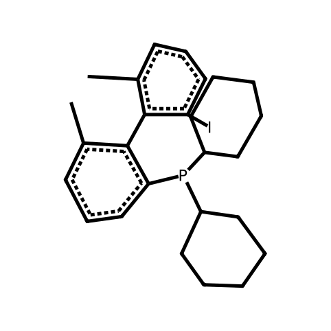 Cc1cccc(I)c1-c1c(C)cccc1P(C1CCCCC1)C1CCCCC1